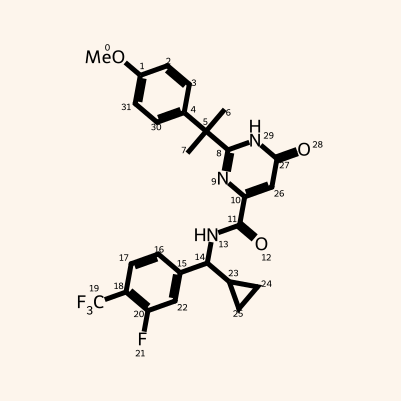 COc1ccc(C(C)(C)c2nc(C(=O)NC(c3ccc(C(F)(F)F)c(F)c3)C3CC3)cc(=O)[nH]2)cc1